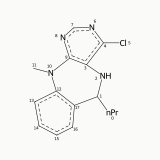 CCCC1Nc2c(Cl)ncnc2N(C)c2ccccc21